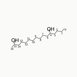 CCCCC(O)CCCCCCCCCC(C)O